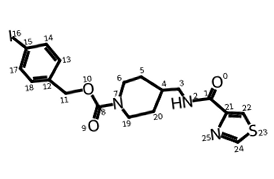 O=C(NCC1CCN(C(=O)OCc2ccc(I)cc2)CC1)c1cscn1